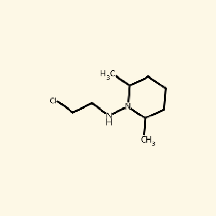 CC1CCCC(C)N1NCCCl